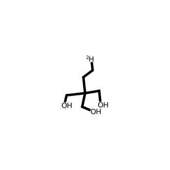 [2H]CCC(CO)(CO)CO